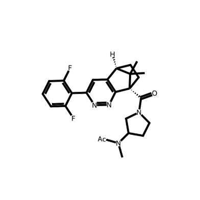 CC(=O)N(C)C1CCN(C(=O)[C@]23CC[C@H](c4cc(-c5c(F)cccc5F)nnc42)C3(C)C)C1